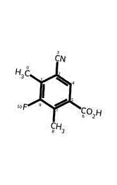 Cc1c(C#N)cc(C(=O)O)c(C)c1F